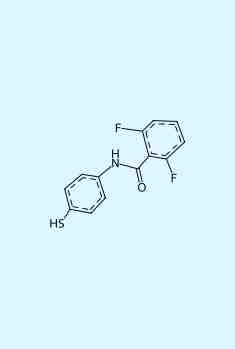 O=C(Nc1ccc(S)cc1)c1c(F)cccc1F